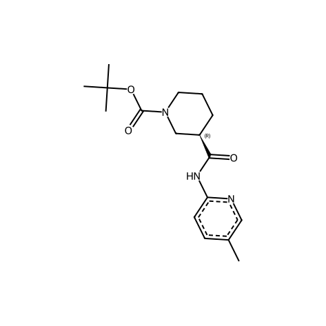 Cc1ccc(NC(=O)[C@@H]2CCCN(C(=O)OC(C)(C)C)C2)nc1